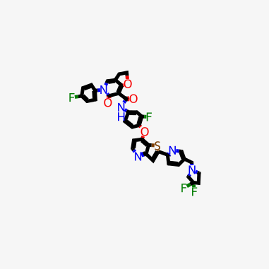 O=C(Nc1ccc(Oc2ccnc3cc(-c4ccc(CN5CCC(F)(F)C5)cn4)sc23)c(F)c1)c1c2c(cn(-c3ccc(F)cc3)c1=O)CCO2